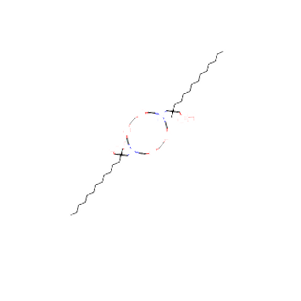 CCCCCCCCCCCCC(C)(CO)CN1CCOCCOCCN(CC(C)(CO)CCCCCCCCCCCC)CCOCCOCC1